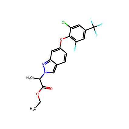 CCOC(=O)C(C)n1cc2ccc(Oc3c(F)cc(C(F)(F)F)cc3Cl)cc2n1